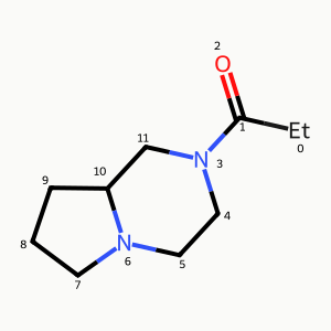 CCC(=O)N1CCN2CCCC2C1